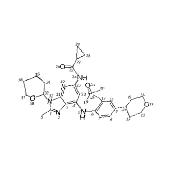 Cc1nc2c(Nc3ccc(C4CCOCC4)cc3P(C)(C)=O)cc(NC(=O)C3CC3)nc2n1C1CCCCO1